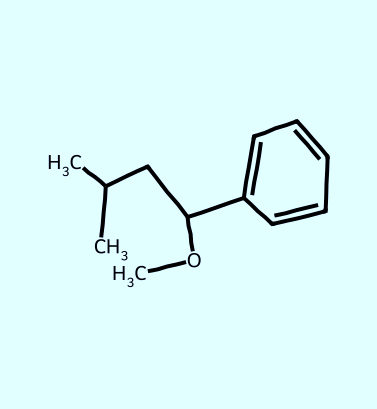 COC(CC(C)C)c1ccccc1